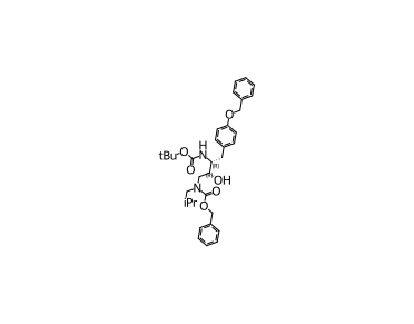 CC(C)CN(C[C@@H](O)[C@@H](Cc1ccc(OCc2ccccc2)cc1)NC(=O)OC(C)(C)C)C(=O)OCc1ccccc1